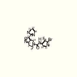 C[C@H]1Cc2noc(-c3ncccn3)c2CN1C(=O)Nc1ccnc(Br)c1F